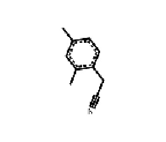 Cc1ccc(CC#N)c(C)c1